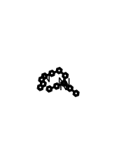 c1ccc(-c2ccc(-c3nc(-c4ccc(-c5ccccc5)cc4)nc(-c4cccc(-c5cccc(-c6ccc(-c7ccc8ccc9c%10ccccc%10ccc9c8n7)cc6)c5)c4)n3)cc2)cc1